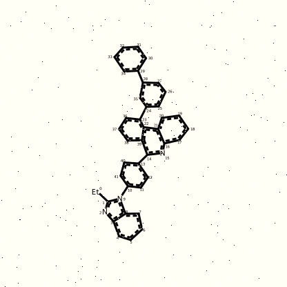 CCc1nc2ccccc2n1-c1ccc(-c2nc3ccccc3c3c(-c4cccc(-c5ccccc5)c4)cccc23)cc1